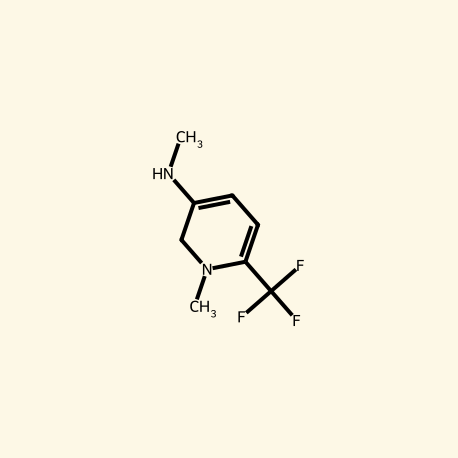 CNC1=CC=C(C(F)(F)F)N(C)C1